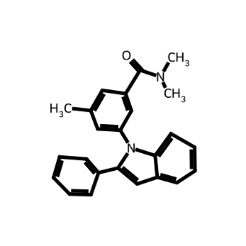 Cc1cc(C(=O)N(C)C)cc(-n2c(-c3ccccc3)cc3ccccc32)c1